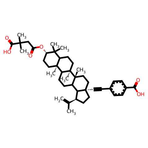 C=C(C)[C@@H]1CC[C@]2(C#Cc3ccc(C(=O)O)cc3)CC[C@]3(C)C(CCC4[C@@]5(C)CC[C@H](OC(=O)CC(C)(C)C(=O)O)C(C)(C)C5CC[C@]43C)C12